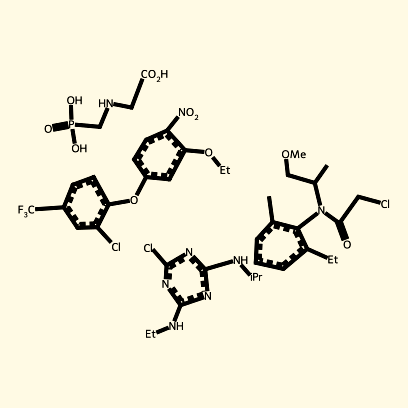 CCNc1nc(Cl)nc(NC(C)C)n1.CCOc1cc(Oc2ccc(C(F)(F)F)cc2Cl)ccc1[N+](=O)[O-].CCc1cccc(C)c1N(C(=O)CCl)C(C)COC.O=C(O)CNCP(=O)(O)O